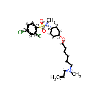 C=CCN(C)CCCCCCO[C@H]1CC[C@H](N(C)S(=O)(=O)c2ccc(Cl)cc2Cl)CC1